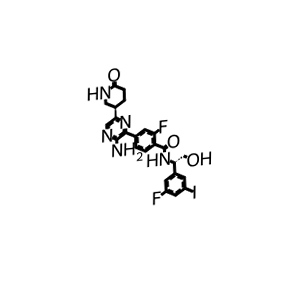 Nc1ncc([C@@H]2CCC(=O)NC2)nc1-c1ccc(C(=O)N[C@H](CO)c2cc(F)cc(I)c2)c(F)c1